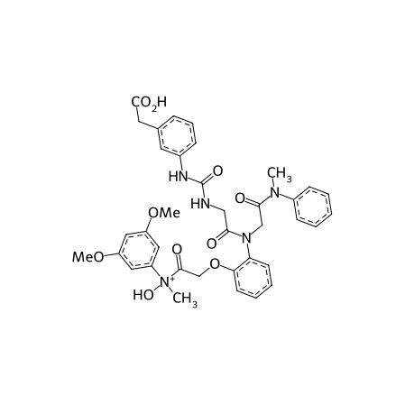 COc1cc(OC)cc([N+](C)(O)C(=O)COc2ccccc2N(CC(=O)N(C)c2ccccc2)C(=O)CNC(=O)Nc2cccc(CC(=O)O)c2)c1